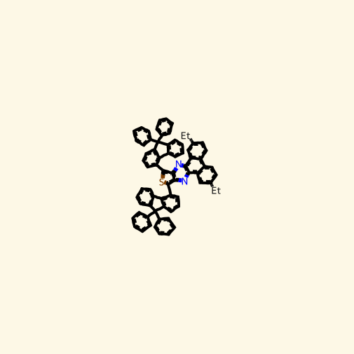 CCc1ccc2c3ccc(CC)cc3c3nc4c(-c5cccc6c5-c5ccccc5C6(c5ccccc5)c5ccccc5)sc(-c5cccc6c5-c5ccccc5C6(c5ccccc5)c5ccccc5)c4nc3c2c1